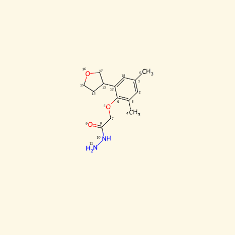 Cc1cc(C)c(OCC(=O)NN)c(C2CCOC2)c1